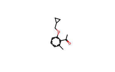 CC(=O)c1c(C)cccc1OCC1CC1